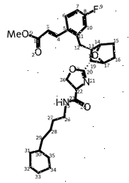 COC(=O)/C=C/c1ccc(F)cc1C[C@H]1C2CCC(O2)[C@@H]1C1=NC(C(=O)NCCCCC2CCCCC2)CO1